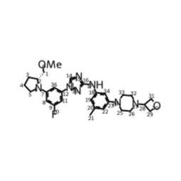 COC[C@H]1CCCN1c1cc(F)cc(-n2cnc(Nc3cc(C)cc(N4CCN(C5COC5)CC4)c3)n2)c1